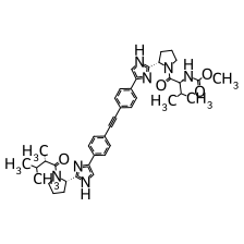 COC(=O)N[C@H](C(=O)N1CCC[C@H]1c1nc(-c2ccc(C#Cc3ccc(-c4c[nH]c([C@@H]5CCCN5C(=O)[C@@H](C)C(C)C)n4)cc3)cc2)c[nH]1)C(C)C